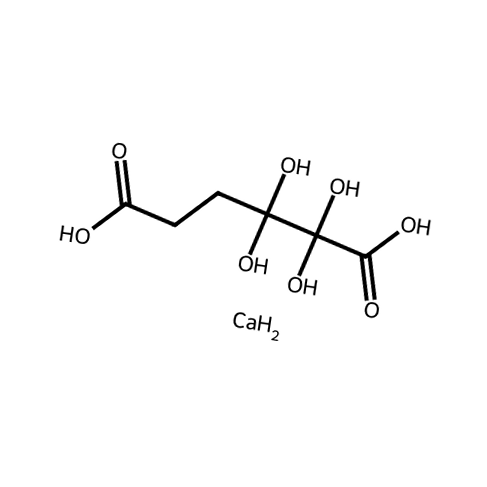 O=C(O)CCC(O)(O)C(O)(O)C(=O)O.[CaH2]